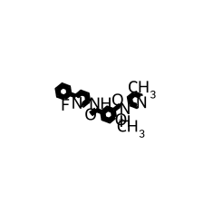 COc1ccc(C(=O)Nc2ccc(-c3ccccc3F)nc2)cc1C(=O)Nc1cncc(C)c1